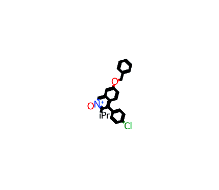 CC(C)c1c(-c2ccc(Cl)cc2)c2ccc(OCc3ccccc3)cc2c[n+]1[O-]